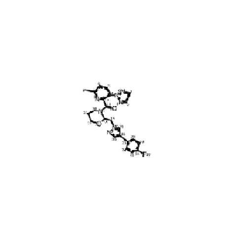 Cc1ccc(-n2nccn2)c(C(=O)N2CCCOC2Cn2cc(-c3ccc(F)cc3)cn2)n1